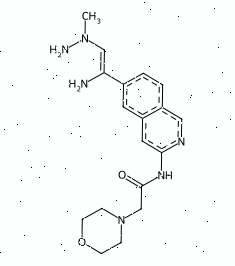 CN(N)/C=C(\N)c1ccc2cnc(NC(=O)CN3CCOCC3)cc2c1